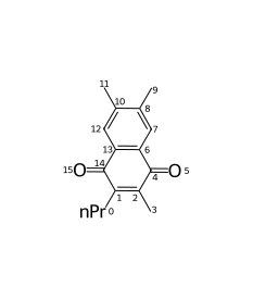 CCCC1=C(C)C(=O)c2cc(C)c(C)cc2C1=O